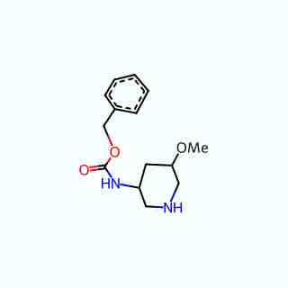 COC1CNCC(NC(=O)OCc2ccccc2)C1